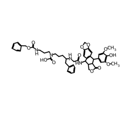 COc1cc(C2c3cc4c(cc3C(NC(=O)CNC(CCCN(CCCNC(=O)OCc3ccccc3)C(=O)O)Cc3ccccc3)C3COC(=O)C23)OCO4)cc(OC)c1O